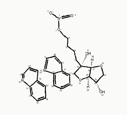 O=[N+]([O-])OCCCC[C@]1(O)CO[C@@H]2[C@@H](O)CO[C@@H]21.c1ccc2ncccc2c1.c1ccc2ncccc2c1